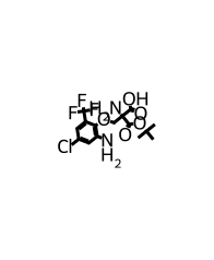 CC(C)(C)OC(=O)C(N)(COc1c(N)cc(Cl)cc1C(F)(F)F)C(=O)O